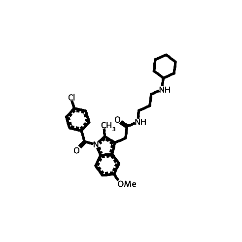 COc1ccc2c(c1)c(CC(=O)NCCCNC1CCCCC1)c(C)n2C(=O)c1ccc(Cl)cc1